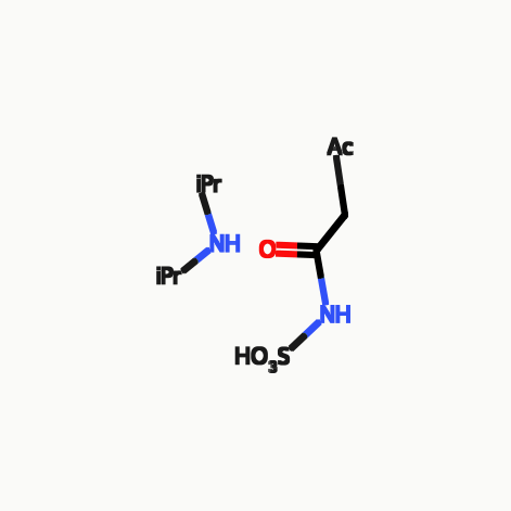 CC(=O)CC(=O)NS(=O)(=O)O.CC(C)NC(C)C